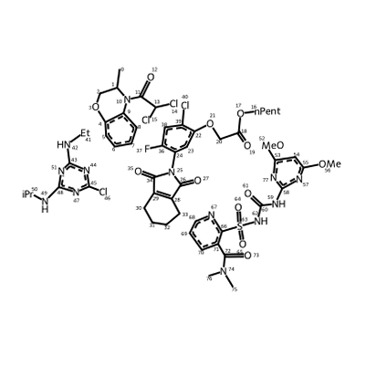 CC1COc2ccccc2N1C(=O)C(Cl)Cl.CCCCCOC(=O)COc1cc(N2C(=O)C3=C(CCCC3)C2=O)c(F)cc1Cl.CCNc1nc(Cl)nc(NC(C)C)n1.COc1cc(OC)nc(NC(=O)NS(=O)(=O)c2ncccc2C(=O)N(C)C)n1